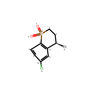 CC[C@@H]1CCS(=O)(=O)c2ccc(Cl)cc21